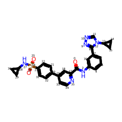 O=C(Nc1cccc(-c2nncn2C2CC2)c1)c1cc(-c2ccc(S(=O)(=O)NC3CC3)cc2)ccn1